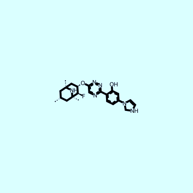 C[C@@H]1C[C@@]2(C)C[C@H](Oc3cnc(-c4ccc(N5C=CNC5)cc4O)nn3)[C@@H](F)[C@@](C)(C1)N2